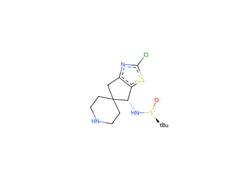 CC(C)(C)[S@+]([O-])N[C@H]1c2sc(Cl)nc2CC12CCNCC2